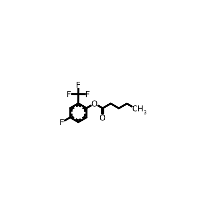 CCCCC(=O)Oc1ccc(F)cc1C(F)(F)F